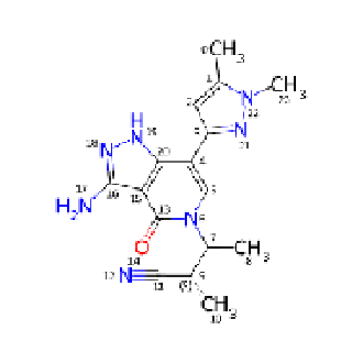 Cc1cc(-c2cn(C(C)[C@H](C)C#N)c(=O)c3c(N)n[nH]c23)nn1C